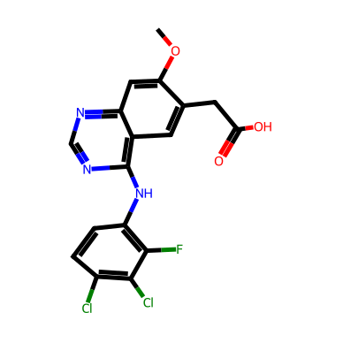 COc1cc2ncnc(Nc3ccc(Cl)c(Cl)c3F)c2cc1CC(=O)O